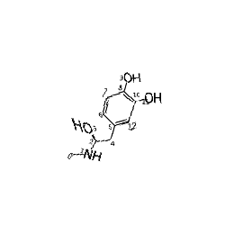 CN[C@@H](O)Cc1ccc(O)c(O)c1